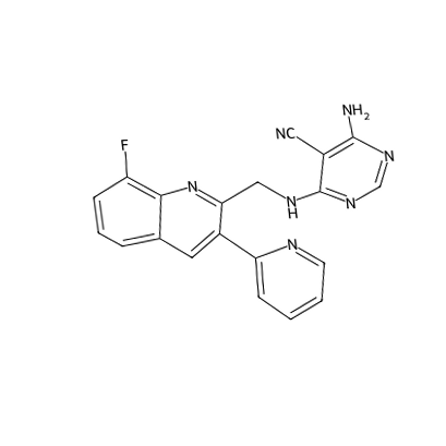 N#Cc1c(N)ncnc1NCc1nc2c(F)cccc2cc1-c1ccccn1